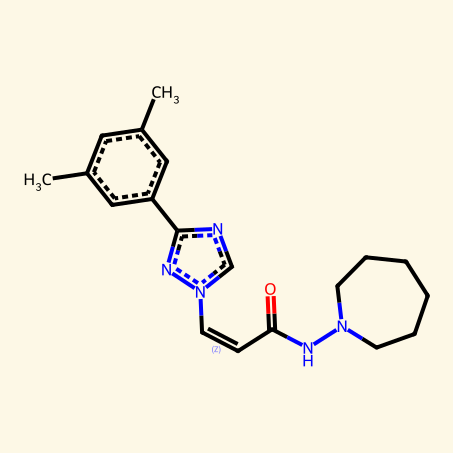 Cc1cc(C)cc(-c2ncn(/C=C\C(=O)NN3CCCCCC3)n2)c1